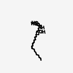 CCCCCCCC/C=C\CCCCCCCCOCC(O)CNC(C)(CO)CO